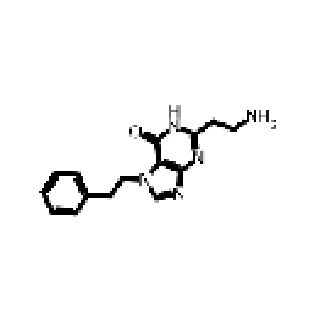 NCCc1nc2ncn(CCc3ccccc3)c2c(=O)[nH]1